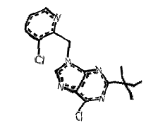 CC(C)(C)c1nc(Cl)c2ncn(Cc3ncccc3Cl)c2n1